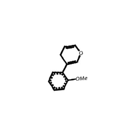 COc1ccccc1C1=[C]OC=CC1